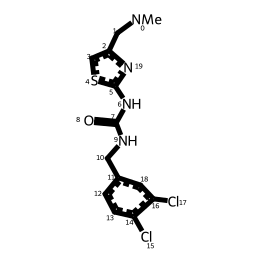 CNCc1csc(NC(=O)NCc2ccc(Cl)c(Cl)c2)n1